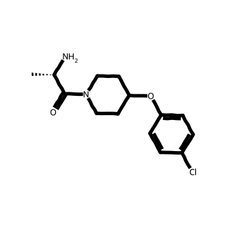 C[C@H](N)C(=O)N1CCC(Oc2ccc(Cl)cc2)CC1